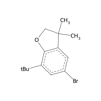 CC(C)(C)c1cc(Br)cc2c1OCC2(C)C